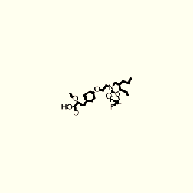 CCCC(CCC)CN(CCOc1ccc(CC(OCC)C(=O)O)cc1)C(=O)OCC(F)(F)F